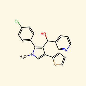 Cn1cc(-c2cccs2)c(C(O)c2cccnc2)c1-c1ccc(Cl)cc1